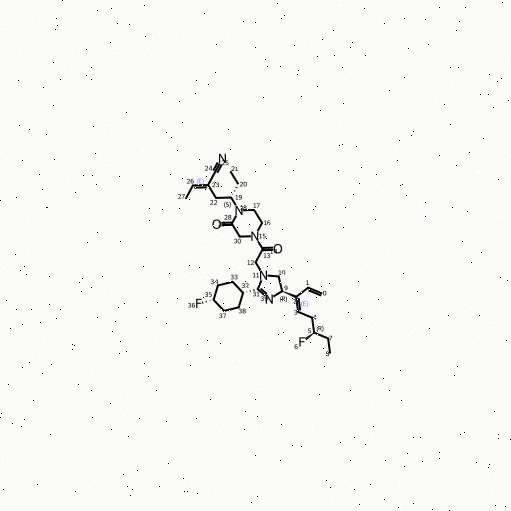 C=C/C(=C\C[C@H](F)CC)[C@@H]1CN(CC(=O)N2CCN([C@@H](CC)C/C(C#N)=C\C)C(=O)C2)C([C@H]2CC[C@@H](F)CC2)=N1